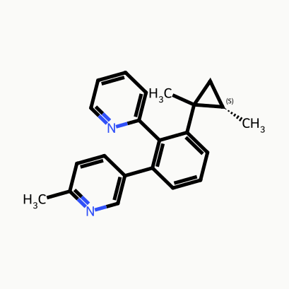 Cc1ccc(-c2cccc(C3(C)C[C@@H]3C)c2-c2ccccn2)cn1